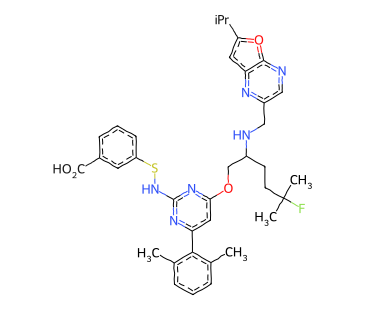 Cc1cccc(C)c1-c1cc(OCC(CCC(C)(C)F)NCc2cnc3oc(C(C)C)cc3n2)nc(NSc2cccc(C(=O)O)c2)n1